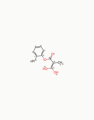 CCCc1ccccc1OC(=O)C(C)=C(O)O